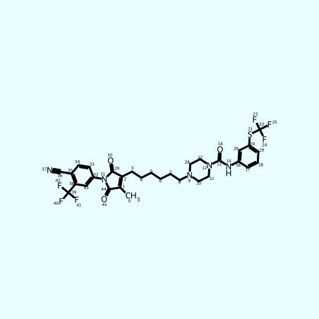 CC1=C(CCCCCCN2CCN(C(=O)Nc3cccc(SC(F)(F)F)c3)CC2)C(=O)N(c2ccc(C#N)c(C(F)(F)F)c2)C1=O